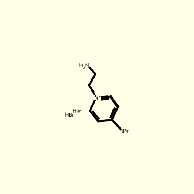 Br.Br.CC(C)c1cc[n+](CCN)cc1